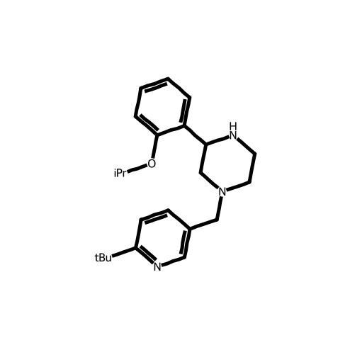 CC(C)Oc1ccccc1C1CN(Cc2ccc(C(C)(C)C)nc2)CCN1